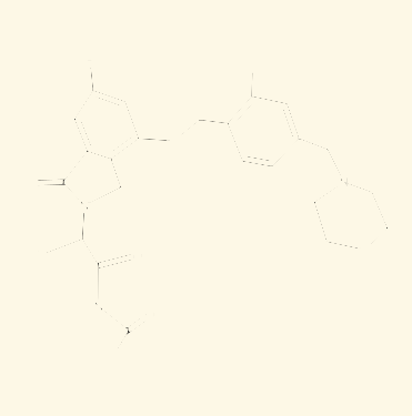 CCC(=O)NC(=O)C(O)N1Cc2c(OCc3ccc(CN4CCOCC4)cc3F)cc(F)cc2C1=O